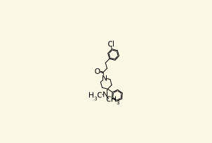 CN(C)C1(c2ccccc2)CCN(C(=O)CCc2cccc(Cl)c2)CC1